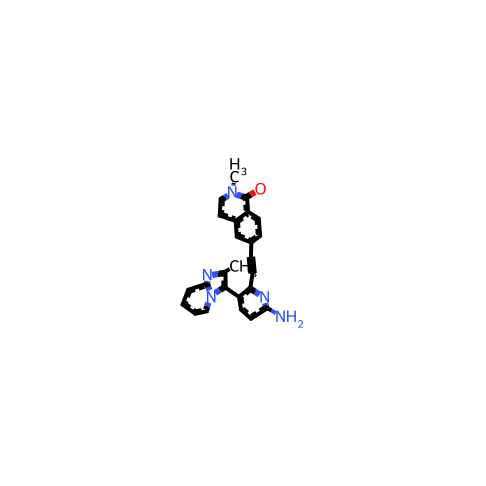 Cc1nc2ccccn2c1-c1ccc(N)nc1C#Cc1ccc2c(=O)n(C)ccc2c1